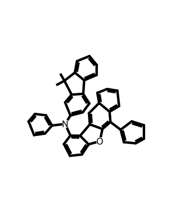 CC1(C)c2ccccc2-c2ccc(N(c3ccccc3)c3cccc4oc5c(-c6ccccc6)c6ccccc6cc5c34)cc21